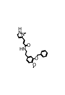 COc1ccc(CCNC(=O)/C=C/C2=CCNN2C)cc1OCc1ccccc1